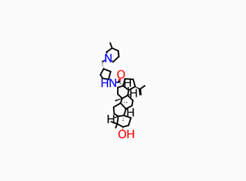 C=C(C)[C@@H]1CC[C@]2(C(=O)N[C@@H]3CC[C@H](CN4CCCC(C)C4)C3)CC[C@]3(C)[C@H](CC[C@@H]4[C@@]5(C)CC[C@H](O)C(C)(C)[C@@H]5CC[C@]43C)[C@@H]12